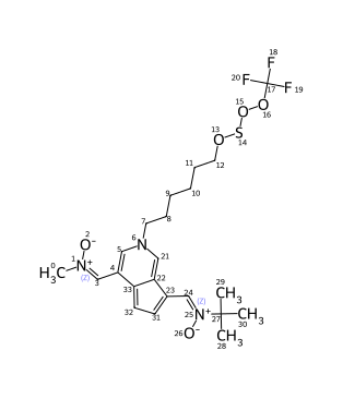 C/[N+]([O-])=C/c1cn(CCCCCCOSOOC(F)(F)F)cc2c(/C=[N+](\[O-])C(C)(C)C)ccc1-2